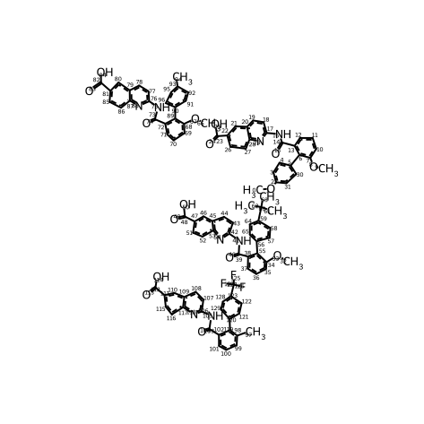 COc1ccc(-c2c(OC)cccc2C(=O)Nc2ccc3cc(C(=O)O)ccc3n2)cc1.COc1cccc(C(=O)Nc2ccc3cc(C(=O)O)ccc3n2)c1-c1ccc(C(C)(C)C)cc1.COc1cccc(C(=O)Nc2ccc3cc(C(=O)O)ccc3n2)c1-c1ccc(C)cc1.Cc1cccc(C(=O)Nc2ccc3cc(C(=O)O)ccc3n2)c1-c1ccc(C(F)(F)F)cc1